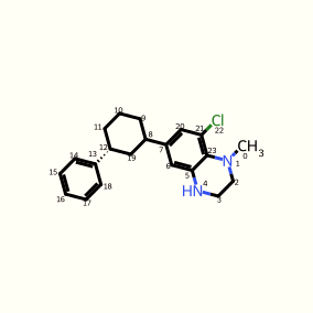 CN1CCNc2cc(C3CCC[C@@H](c4ccccc4)C3)cc(Cl)c21